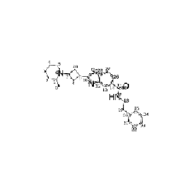 C[C@H]1CCCCN1C1CC(c2nc3cc(C(=O)NCCc4ccccc4)ccc3s2)C1